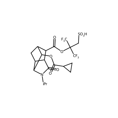 CC(C)N1C(=O)C2C3CC(C(OC(=O)C4CC4)C31)C2C(=O)OC(CS(=O)(=O)O)(C(F)(F)F)C(F)(F)F